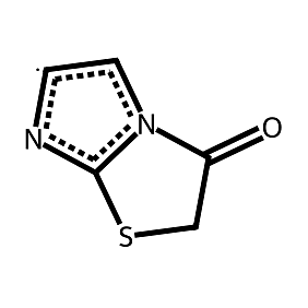 O=C1CSc2n[c]cn21